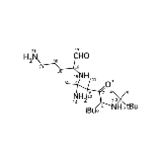 CCC(C)C(NC(C)(C)C(C)(C)C)C(=O)C(C)(C)C(C)(N)NC(C=O)CCCN